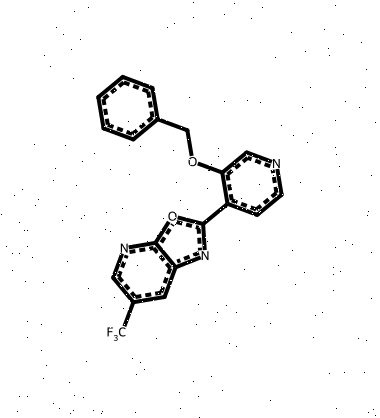 FC(F)(F)c1cnc2oc(-c3ccncc3OCc3ccccc3)nc2c1